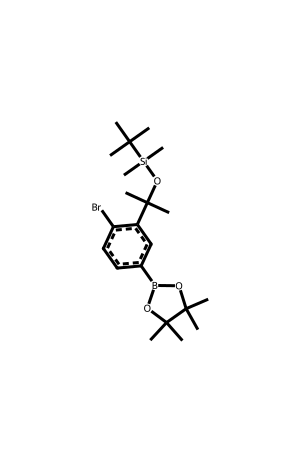 CC(C)(O[Si](C)(C)C(C)(C)C)c1cc(B2OC(C)(C)C(C)(C)O2)ccc1Br